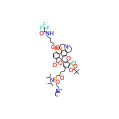 [C-]#[N+]CCOP(CC(=O)CCc1cc2c(c(Cl)c1OC(=O)C(C)(C)C)Oc1c(cc3c4c1CCCN4CCC3)C21OC(=O)c2ccc([PH](=O)OCCCCNC(=O)C(F)(F)F)cc21)N(C(C)C)C(C)C